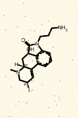 CN1C[C@H](I)C=C2c3cccc4c3C(O)(C[C@H]21)C(=O)N4CCCN